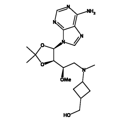 CO[C@H](CN(C)C1CC(CO)C1)[C@H]1OC(C)(C)O[C@H]1n1cnc2c(N)ncnc21